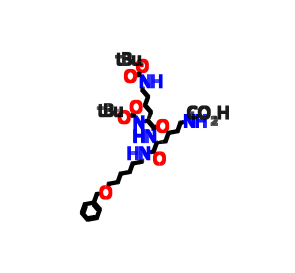 CC(C)(C)OC(=O)NCCCC[C@H](NC(=O)OC(C)(C)C)C(=O)N[C@@H](CCCCNC(=O)O)C(=O)NCCCCCCOCc1ccccc1